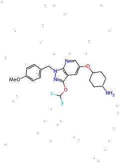 COc1ccc(Cn2nc(OC(F)F)c3cc(OC4CCC(N)CC4)cnc32)cc1